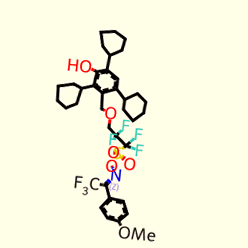 COc1ccc(/C(=N/OS(=O)(=O)C(F)(F)C(F)(F)COCc2c(C3CCCCC3)cc(C3CCCCC3)c(O)c2C2CCCCC2)C(F)(F)F)cc1